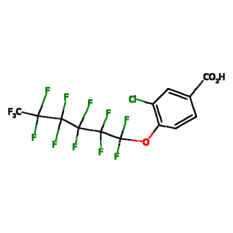 O=C(O)c1ccc(OC(F)(F)C(F)(F)C(F)(F)C(F)(F)C(F)(F)C(F)(F)F)c(Cl)c1